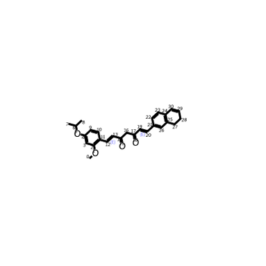 COc1cc(OC(C)C)ccc1/C=C/C(=O)CC(=O)/C=C/c1ccc2c(c1)CCC=C2